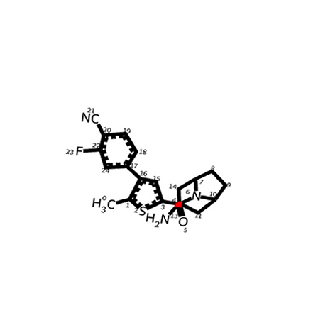 Cc1sc(C(=O)N2C3CCC2CC(N)C3)cc1-c1ccc(C#N)c(F)c1